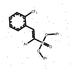 CC(=O)/C(=C\c1ccccc1C(F)(F)F)P(=O)(OC(C)C)OC(C)C